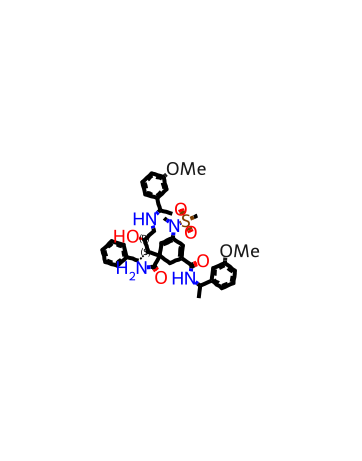 COc1cccc(C(C)NC[C@H](O)[C@@H](Cc2ccccc2)C2(C(N)=O)C=C(N(C)S(C)(=O)=O)C=C(C(=O)NC(C)c3cccc(OC)c3)C2)c1